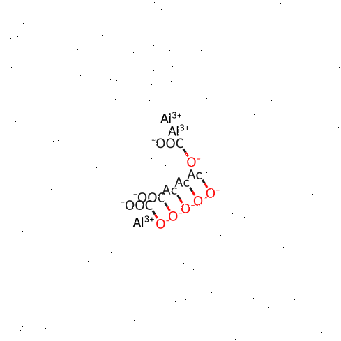 CC(=O)[O-].CC(=O)[O-].CC(=O)[O-].O=C([O-])[O-].O=C([O-])[O-].O=C([O-])[O-].[Al+3].[Al+3].[Al+3]